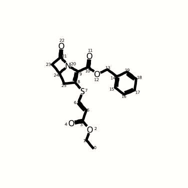 CCOC(=O)C=CSC1=C(C(=O)OCc2ccccc2)N2C(=O)CC2C1